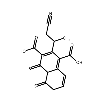 CC(CC#N)C1=C(C(=O)O)C(=S)C2C(=S)CC=CC2=C1C(=O)O